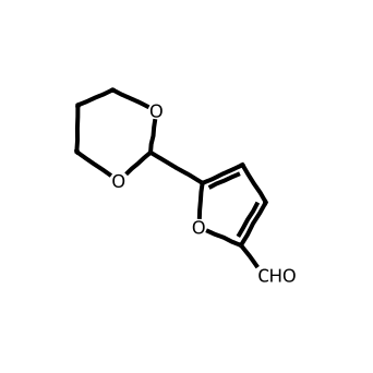 O=Cc1ccc(C2OCCCO2)o1